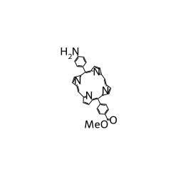 COC(=O)c1ccc(C2=C3C=CC(=N3)C=C3C=CC(=N3)C(c3ccc(N)cc3)=C3C=CC(=N3)C=C3C=CC2=N3)cc1